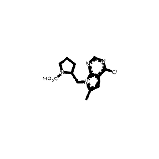 Cc1cc2c(Cl)ncnc2n1CC1CCCN1C(=O)O